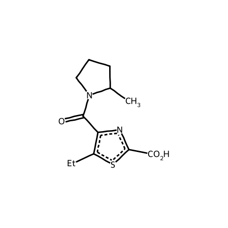 CCc1sc(C(=O)O)nc1C(=O)N1CCCC1C